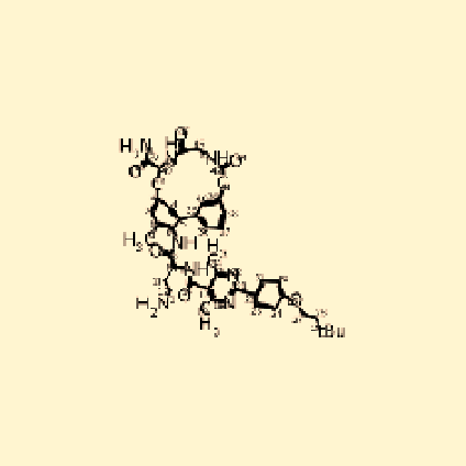 Cc1cc2cc(c1NC(=O)[C@H](CCN)NC(=O)c1c(C)nc(-c3ccc(OCCC(C)(C)C)cc3)nc1C)-c1cccc(c1)CC(=O)NCC(=O)NC(C(N)=O)C2